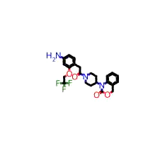 Nc1ccc(CC(=O)N2CCC(N3C(=O)OCc4ccccc43)CC2)c(OCC(F)(F)F)c1